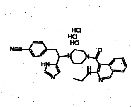 CCNc1ncc2ccccc2c1C(=O)N1CCN(C(Cc2ccc(C#N)cc2)c2cnc[nH]2)CC1.Cl.Cl.Cl